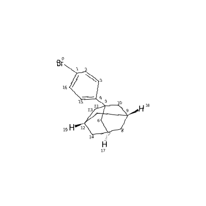 Brc1ccc(C23C[C@H]4C[C@@H](C2)C[C@@H](C3)C4)cc1